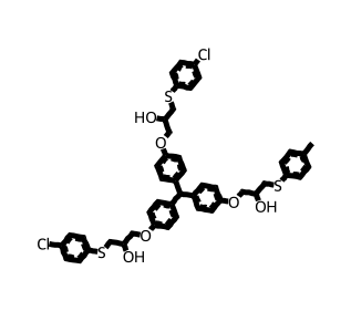 Cc1ccc(SCC(O)COc2ccc(C(c3ccc(OCC(O)CSc4ccc(Cl)cc4)cc3)c3ccc(OCC(O)CSc4ccc(Cl)cc4)cc3)cc2)cc1